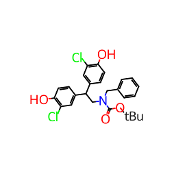 CC(C)(C)OC(=O)N(Cc1ccccc1)CC(c1ccc(O)c(Cl)c1)c1ccc(O)c(Cl)c1